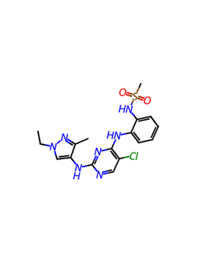 CCn1cc(Nc2ncc(Cl)c(Nc3ccccc3NS(C)(=O)=O)n2)c(C)n1